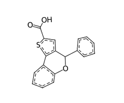 O=C(O)c1cc2c(s1)-c1ccccc1OC2c1ccccc1